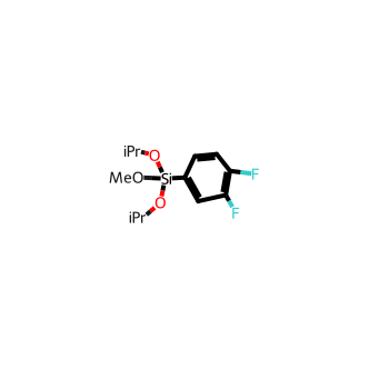 CO[Si](OC(C)C)(OC(C)C)c1ccc(F)c(F)c1